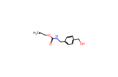 C=CCOC(=O)NCc1ccc(CO)cc1